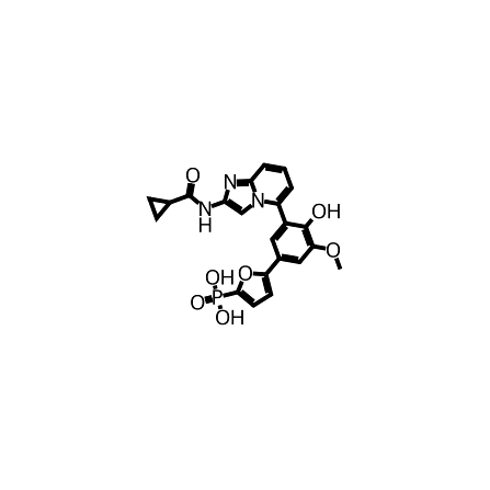 COc1cc(-c2ccc(P(=O)(O)O)o2)cc(-c2cccc3nc(NC(=O)C4CC4)cn23)c1O